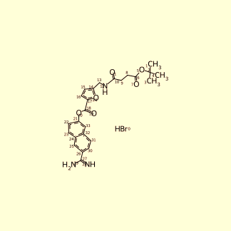 Br.CC(C)(C)OC(=O)CCC(=O)NCc1ccc(C(=O)Oc2ccc3cc(C(=N)N)ccc3c2)o1